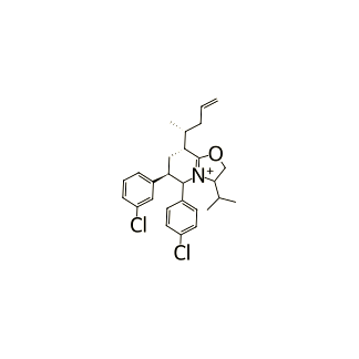 C=CC[C@@H](C)[C@H]1C[C@H](c2cccc(Cl)c2)C(c2ccc(Cl)cc2)[N+]2=C1OCC2C(C)C